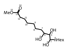 CCCCCCC(O)C(O)C(O)CCCCCCC(=O)OC